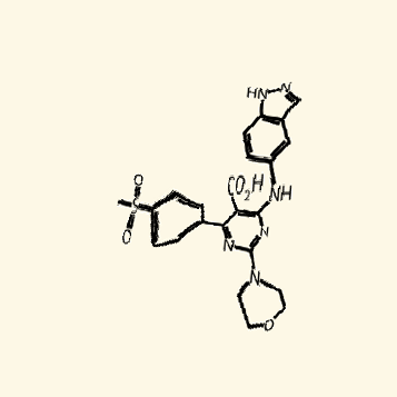 CS(=O)(=O)c1ccc(-c2nc(N3CCOCC3)nc(Nc3ccc4[nH]ncc4c3)c2C(=O)O)cc1